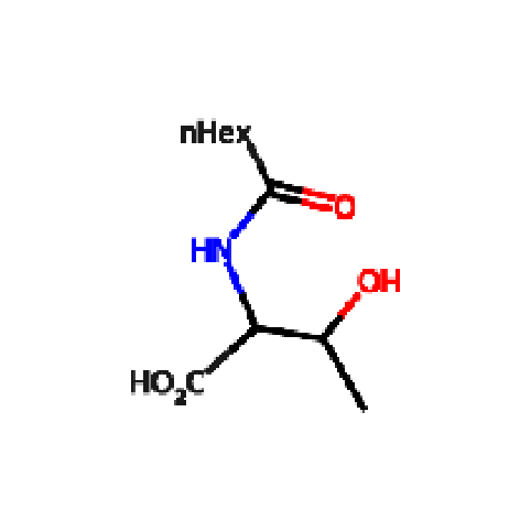 CCCCCCC(=O)NC(C(=O)O)C(C)O